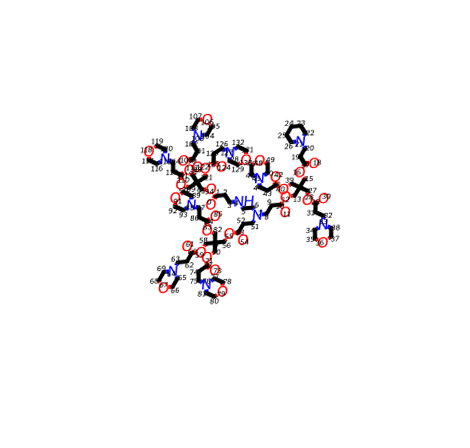 O=C(CCNCCN(CCC(=O)OCC(COC(=O)CCN1CCCCC1)(COC(=O)CCN1CCOCC1)COC(=O)CCN1CCOCC1)CCC(=O)OCC(COC(=O)CCN1CCOCC1)(COC(=O)CCN1CCOCC1)COC(=O)CCN1CCOCC1)OCC(COC(=O)CCN1CCOCC1)(COC(=O)CCN1CCOCC1)COC(=O)CCN1CCOCC1